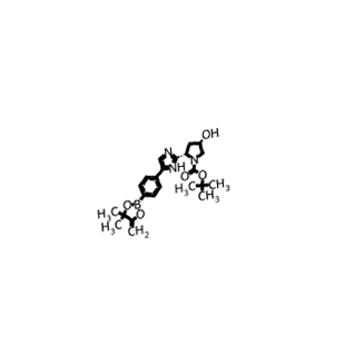 C=C1OB(c2ccc(-c3cnc([C@@H]4C[C@@H](O)CN4C(=O)OC(C)(C)C)[nH]3)cc2)OC1(C)C